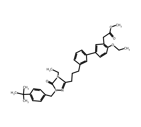 CCOc1ccc(-c2cccc(CCCc3nn(Cc4ccc(C(C)(C)C)cc4)c(=O)n3CC)c2)cc1CC(=O)OC